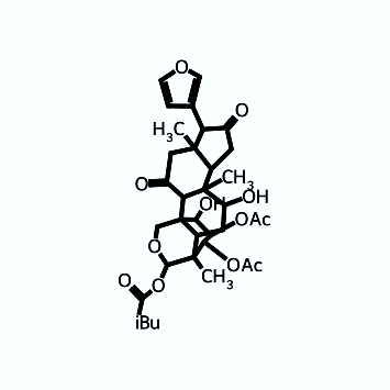 CCC(C)C(=O)OC1OCC23C(O)C(OC(C)=O)C(OC(C)=O)C1(C)C2CC(O)C1(C)C2CC(=O)C(c4ccoc4)C2(C)CC(=O)C13